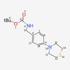 CC(C)(C)OC(=O)NCc1ccc(N2CCSCC2)cc1